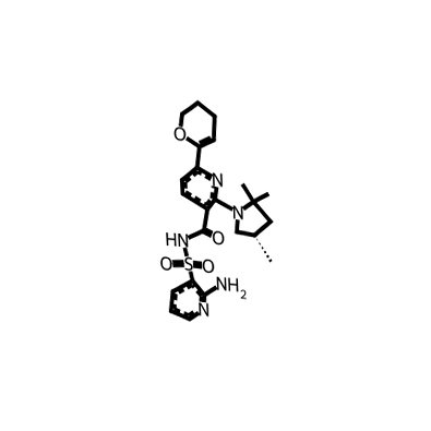 C[C@@H]1CN(c2nc(C3=CCCCO3)ccc2C(=O)NS(=O)(=O)c2cccnc2N)C(C)(C)C1